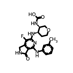 Cc1cccc(Nc2nc(N[C@@H]3CCOC[C@@H]3NC(=O)O)c(F)c3c2C(=O)NC3)c1